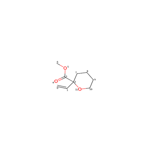 C=CC1(C(=O)OC)CCCCO1